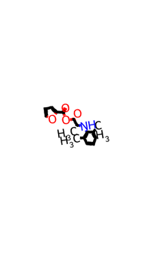 Cc1cccc(C)c1NC(C)C(=O)OC(=O)c1ccco1